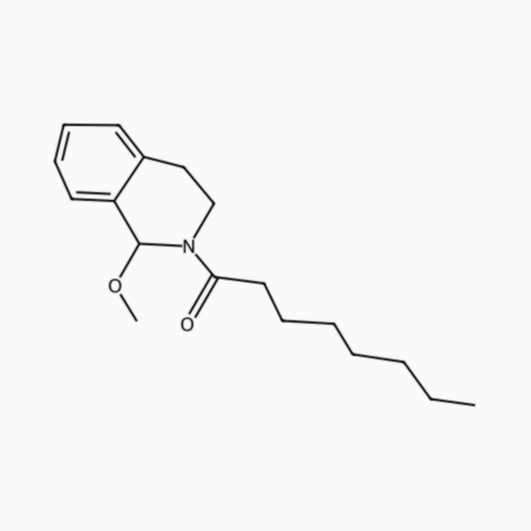 CCCCCCCC(=O)N1CCc2ccccc2C1OC